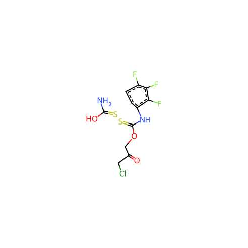 NC(O)=S.O=C(CCl)COC(=S)Nc1ccc(F)c(F)c1F